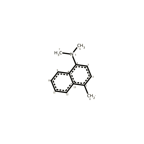 [CH2]c1ccc(N(C)C)c2ccccc12